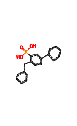 O=P(O)(O)c1cc(-c2ccccc2)ccc1Cc1ccccc1